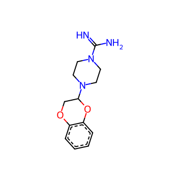 N=C(N)N1CCN(C2COc3ccccc3O2)CC1